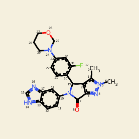 Cc1c2c(nn1C)C(=O)N(c1ccc3[nH]cnc3c1)C2c1ccc(N2CCCOC2)cc1F